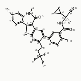 CNC(=O)c1c(-c2ccc(F)cc2)oc2nc(CCC(F)(F)F)c(-c3ccc(F)c(C(=O)N[C@](C)(C#N)C4CC4)c3)cc12